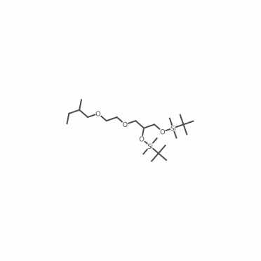 CCC(C)COCCOCC(CO[Si](C)(C)C(C)(C)C)O[Si](C)(C)C(C)(C)C